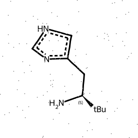 CC(C)(C)[C@@H](N)Cc1c[nH]cn1